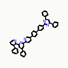 c1ccc(-c2cc(-c3ccc(-c4ccc(-c5ccc(-c6nc(-c7ccccc7)cc(-c7ccccc7)n6)cc5)cc4)cn3)nc(-c3ncccc3-c3ccccc3)c2)cc1